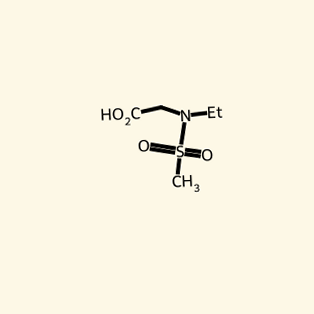 CCN(CC(=O)O)S(C)(=O)=O